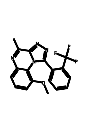 COc1cccc2nc(C)c3nnc(-c4ccccc4C(F)(F)F)n3c12